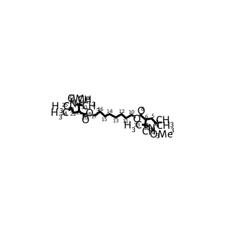 CON1C(C)(C)CC(C(=O)OCCCCCCCCOC(=O)C2CC(C)(C)N(OC)C2(C)C)C1(C)C